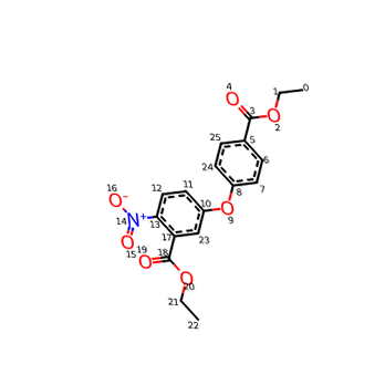 CCOC(=O)c1ccc(Oc2ccc([N+](=O)[O-])c(C(=O)OCC)c2)cc1